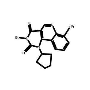 CCCc1cccc2c1ncc1c(=O)n(CC)c(=O)n(C3CCCC3)c12